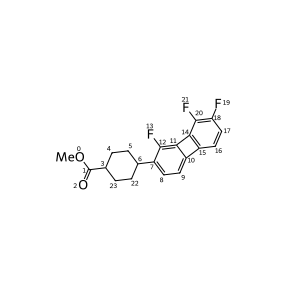 COC(=O)C1CCC(c2ccc3c(c2F)-c2c-3ccc(F)c2F)CC1